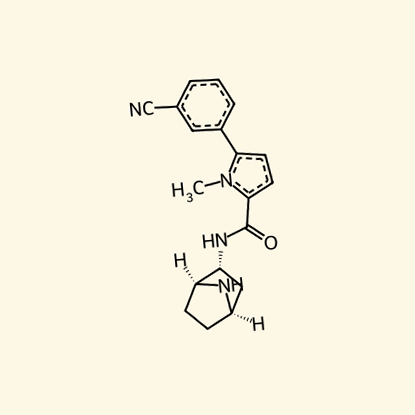 Cn1c(C(=O)N[C@@H]2C[C@H]3CC[C@@H]2N3)ccc1-c1cccc(C#N)c1